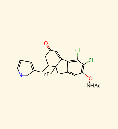 CCCC12Cc3cc(ONC(C)=O)c(Cl)c(Cl)c3C1=CC(=O)CC2Cc1cccnc1